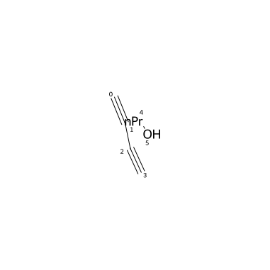 C#CC#C.CCCO